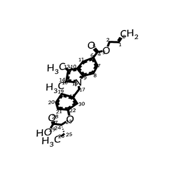 C=CCOC(=O)c1ccc2c(c1)c(C)c(C)n2Cc1cccc(O[C@H](CC)C(=O)O)c1